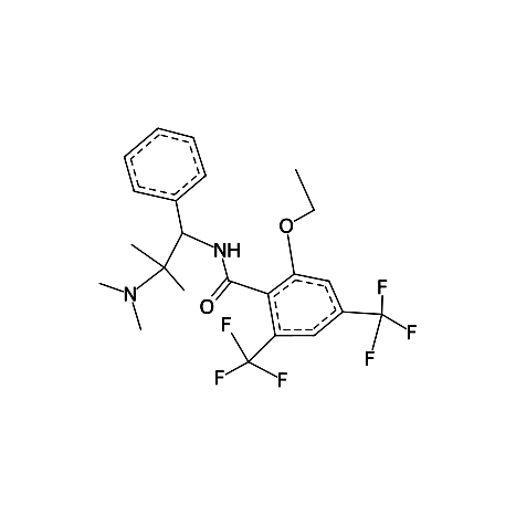 CCOc1cc(C(F)(F)F)cc(C(F)(F)F)c1C(=O)NC(c1ccccc1)C(C)(C)N(C)C